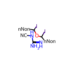 CCCCCCCCCC(I)OC(I)CCCCCCCCC.N#CNC(=N)N